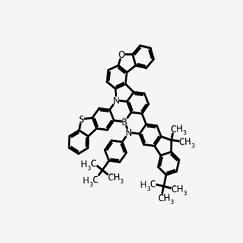 CC(C)(C)c1ccc(N2B3c4cc5c(cc4-n4c6ccc7oc8ccccc8c7c6c6ccc(c3c64)-c3cc4c(cc32)-c2cc(C(C)(C)C)ccc2C4(C)C)sc2ccccc25)cc1